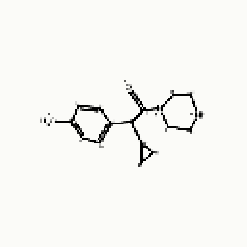 Cc1ccc(C(C(=O)N2CCNCC2)C2CC2)cc1